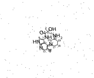 CC(C)(O)C(=O)Nc1c[nH]c2ncc(F)c(N3CCC[C@@H](N)C3)c12